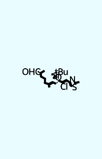 C/C(=C\C[C@H](O[Si](C)(C)C(C)(C)C)/C(Cl)=C/c1csc(C)n1)CCC[C@H](C)C=O